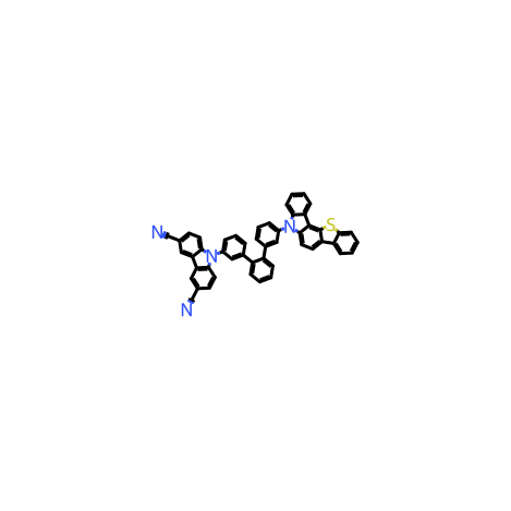 N#Cc1ccc2c(c1)c1cc(C#N)ccc1n2-c1cccc(-c2ccccc2-c2cccc(-n3c4ccccc4c4c5sc6ccccc6c5ccc43)c2)c1